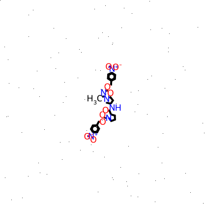 CC(=NC(=O)OCc1ccc([N+](=O)[O-])cc1)N1CCC(NC(=O)C2CCCN2C(=O)OCc2ccc([N+](=O)[O-])cc2)C1